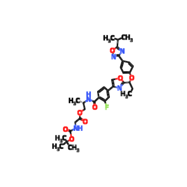 CCC(Oc1ccc(-c2noc(C(C)C)n2)cc1)c1nc(-c2ccc(C(=O)N[C@@H](C)COC(=O)CNC(=O)OC(C)(C)C)c(F)c2)co1